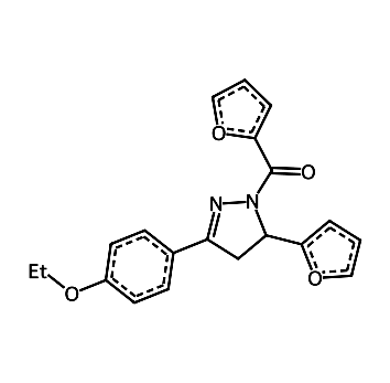 CCOc1ccc(C2=NN(C(=O)c3ccco3)C(c3ccco3)C2)cc1